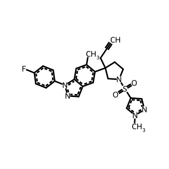 C#CCC1(c2cc3cnn(-c4ccc(F)cc4)c3cc2C)CCN(S(=O)(=O)c2cnn(C)c2)C1